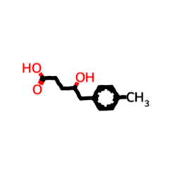 Cc1ccc(CC(O)CCC(=O)O)cc1